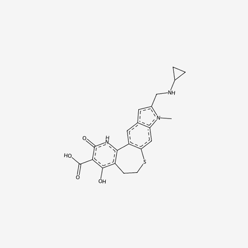 Cn1c(CNC2CC2)cc2cc3c(cc21)SCCc1c-3[nH]c(=O)c(C(=O)O)c1O